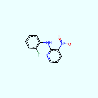 O=[N+]([O-])c1cccnc1Nc1ccccc1F